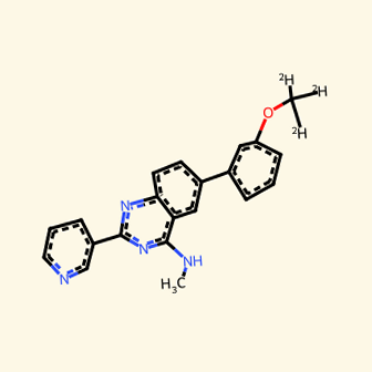 [2H]C([2H])([2H])Oc1cccc(-c2ccc3nc(-c4cccnc4)nc(NC)c3c2)c1